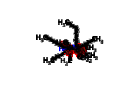 C=CCOC(=O)O[C@H]1[C@H](OCCCCCCCCCC)[C@@H](NC(=O)CC(=O)CCCCCCCCCCC)C(O/C=C\C)O[C@@H]1CO[C@@H]1O[C@H](COC)[C@@H](OP(=O)(OCC=C)OCC=C)[C@H](OCC[C@@H](CCCCCCC)OC)[C@H]1NC(=O)CCCCCCCCC/C=C\CCCCCC